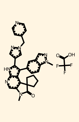 CN1C(=O)C2(CCCC2)c2c1cnc1[nH]c(-c3cnn(Cc4ccncc4)c3)c(-c3ccc4c(cnn4C)c3)c21.O=C(O)C(F)(F)F